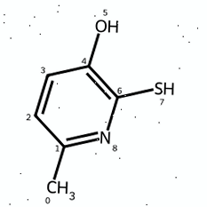 Cc1ccc(O)c(S)n1